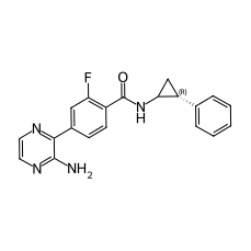 Nc1nccnc1-c1ccc(C(=O)NC2C[C@@H]2c2ccccc2)c(F)c1